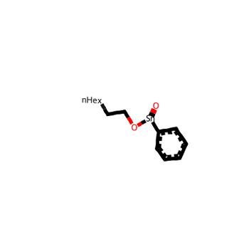 CCCCCCCC[O][Sn](=[O])[c]1ccccc1